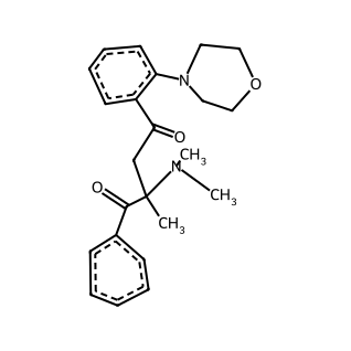 CN(C)C(C)(CC(=O)c1ccccc1N1CCOCC1)C(=O)c1ccccc1